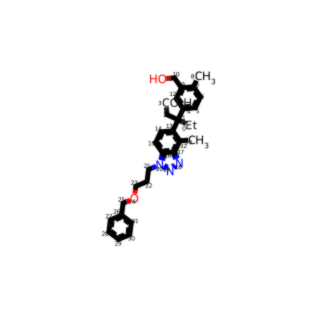 CCC(CC(=O)O)(c1ccc(C)c(CO)c1)c1ccc2c(nnn2CCCOCc2ccccc2)c1C